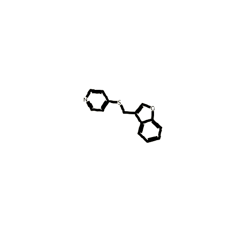 c1ccc2c(CSc3ccncc3)coc2c1